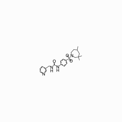 CC1CCN(S(=O)(=O)c2ccc(NC(=O)NCc3cccnc3)cc2)CC(C)(C)C1